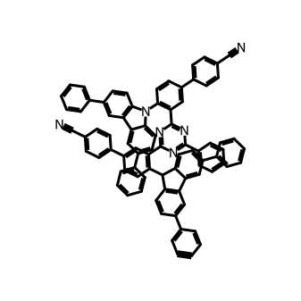 N#Cc1ccc(-c2ccc(C3c4ccc(-c5cc#ccc5)cc4-c4cc(-c5ccccc5)ccc43)c(-c3nc(-c4ccccc4)nc(-c4cc(-c5ccc(C#N)cc5)ccc4-n4c5ccc(-c6ccccc6)cc5c5cc(-c6ccccc6)ccc54)n3)c2)cc1